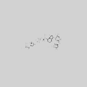 CNC(=O)c1cc(OC2CCN(CC(=O)Nc3cccc4c(-c5nc(Nc6cc(C)n(C)n6)ncc5C)c[nH]c34)C2)no1